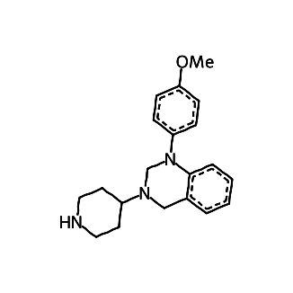 COc1ccc(N2CN(C3CCNCC3)Cc3ccccc32)cc1